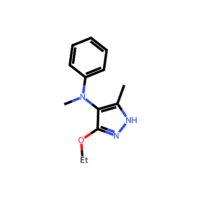 CCOc1n[nH]c(C)c1N(C)c1ccccc1